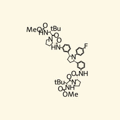 COC(=O)N[C@H](C(=O)N1CCC[C@H]1C(=O)Nc1cccc([C@H]2CC[C@@H](c3cccc(NC(=O)[C@@H]4CCCN4C(=O)[C@@H](NC(=O)OC)C(C)(C)C)c3)N2c2ccc(F)cc2)c1)C(C)(C)C